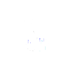 N[C@@H](C#Cc1ccccc1)c1ncccc1C(F)(F)F